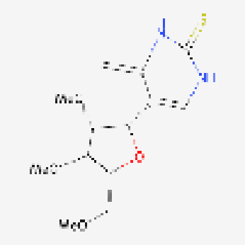 C=C1NC(=S)NC=C1[C@@H]1O[C@H](COC)C(OC)[C@@H]1OC